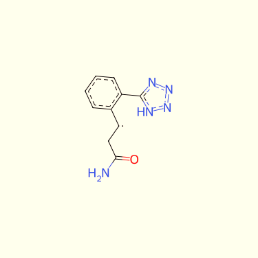 NC(=O)C[CH]c1ccccc1-c1nnn[nH]1